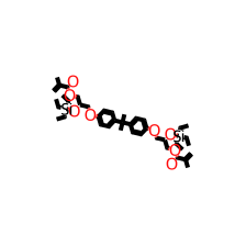 C=C(C)C(=O)OCC(COc1ccc(C(C)(C)c2ccc(OCC(COC(=O)C(=C)C)O[Si](CC)(CC)CC)cc2)cc1)O[Si](CC)(CC)CC